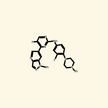 CC(C)N1CCN(c2ccc(Nc3ncc(F)c(-c4cnc5cnn(C(C)C)c5c4)n3)cc2F)CC1